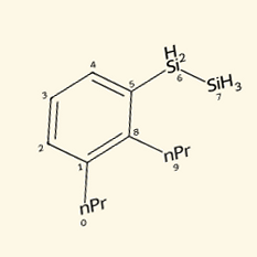 CCCc1cccc([SiH2][SiH3])c1CCC